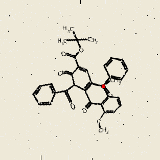 COc1cccc(OC)c1C(=O)C1=C(C(=O)c2ccccc2)C=C(C(=O)OC(C)(C)C)C(=O)C1C(=O)c1ccccc1